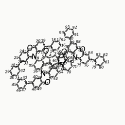 O=c1c2cc3c(=O)c4c(N5c6cc(-c7ccccc7)ccc6Oc6ccc(-c7ccccc7)cc65)ccc(N5c6cc(-c7ccccc7)ccc6Oc6ccc(-c7ccccc7)cc65)c4c3cc2c2cccc(N3c4ccc(-c5ccccc5)cc4Oc4cc(-c5ccccc5)ccc43)c12